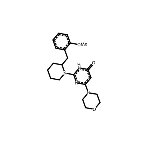 COc1ccccc1CC1CCCCN1c1nc(N2CCOCC2)cc(=O)[nH]1